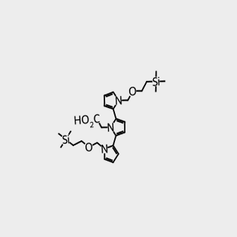 C[Si](C)(C)CCOCn1cccc1-c1ccc(-c2cccn2COCC[Si](C)(C)C)n1CC(=O)O